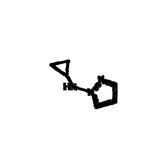 c1cnn(NC2CC2)c1